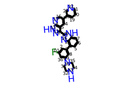 Fc1cc(-c2cccc3[nH]c(-c4n[nH]c5ncc(-c6cccnc6)cc45)nc23)cc(N2CCNCC2)c1